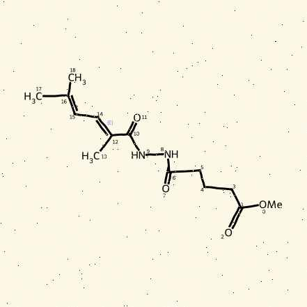 COC(=O)CCCC(=O)NNC(=O)/C(C)=C/C=C(C)C